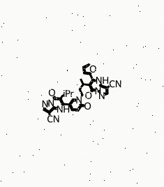 CC(C)c1c(-c2ccc(=O)n(CCC(C)c3c(-c4ccco4)[nH]c4c(C#N)cnn4c3=O)c2)[nH]c2c(C#N)cnn2c1=O